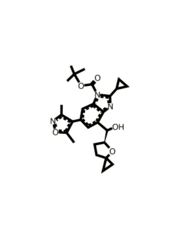 Cc1noc(C)c1-c1cc(C(O)[C@@H]2CCC3(CC3)O2)c2nc(C3CC3)n(C(=O)OC(C)(C)C)c2c1